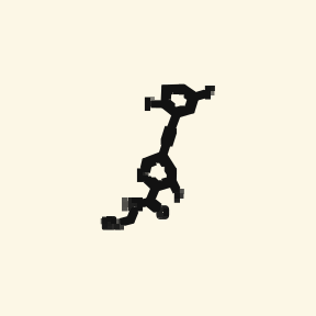 CC(C)(C)CNC(=O)c1ncc(C#Cc2cc(F)ccc2F)cc1F